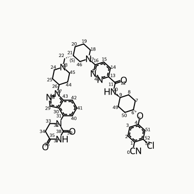 N#Cc1ccc(O[C@H]2CC[C@H](NC(=O)c3ccc(N4CCC[C@@H](CN5CCC(n6ncc7c(N8CCC(=O)NC8=O)cccc76)CC5)C4)nn3)CC2)cc1Cl